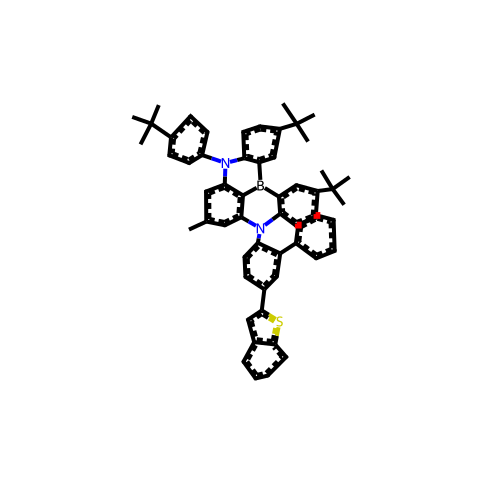 Cc1cc2c3c(c1)N(c1ccc(-c4cc5ccccc5s4)cc1-c1ccccc1)c1ccc(C(C)(C)C)cc1B3c1cc(C(C)(C)C)ccc1N2c1ccc(C(C)(C)C)cc1